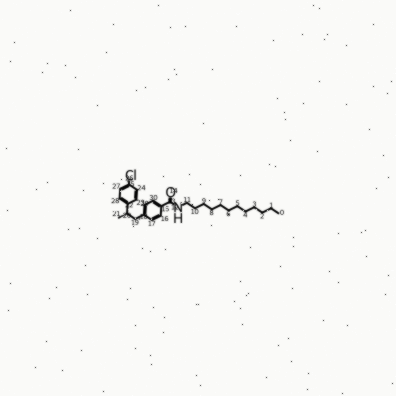 CCCCCCCCCCCCNC(=O)c1ccc([CH][C@@H](C)c2ccc(Cl)cc2)cc1